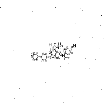 CC(C)Nc1cc(-n2ccc3cc(C#N)cnc32)ncc1C(=O)N[C@H]1CC[C@H](c2ccncc2)CC1